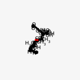 Cc1c(-c2ccc(N3CCc4cccc(C(=O)Nc5nc6ccccc6s5)c4C3)nc2C(=O)O)cnn1CC12CC3(C)CC(C)(C1)C(OCCN(C)C(=O)OCc1ccc(O[C@H]4CC(O)[C@H](O)[C@@H](C(=O)O)O4)c(NC(=O)CCNC(=O)CCCCCN4C(=O)C=CC4=O)c1)(C3)C2